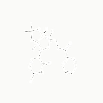 CC1(C)O[C@H]2[C@H](n3ccc(=O)[nH]c3=O)O[C@@](F)(COC(=O)c3ccccc3)[C@H]2O1